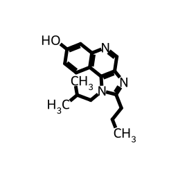 CCCc1nc2cnc3cc(O)ccc3c2n1CC(C)C